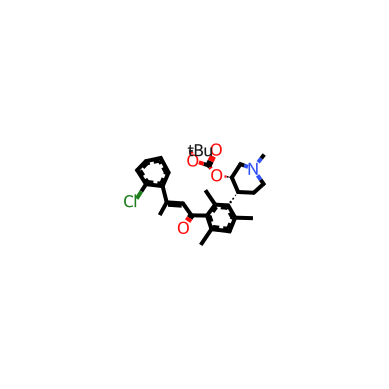 C/C(=C\C(=O)c1c(C)cc(C)c([C@H]2CCN(C)C[C@H]2OC(=O)OC(C)(C)C)c1C)c1ccccc1Cl